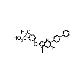 Cc1ccc(Oc2cc3nc(-c4ccc(-c5ccccc5)cc4)c(F)cc3[nH]2)cc1C(=O)O